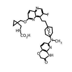 CN(c1ccc2c(n1)NC(=O)CO2)C12CCC(CCc3c(F)cnc4ccc(OCC5(CNC(=O)O)CC5)nc34)(CC1)OC2